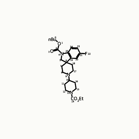 CCCCOC(=O)N1CC2(CCN(C3CCN(C(=O)OCC)CC3)CC2)c2cc(F)ccc21